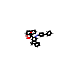 CC1(C)c2ccccc2-c2cc3c(cc21)C1(c2ccccc2Oc2ccccc21)C1C=CC=CC1N3c1ccc(-c2ccccc2)cc1